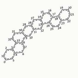 c1ccc2c(c1)ccc1c3cc4cc5c(ccc6c7ccccc7ccc56)cc4cc3ccc21